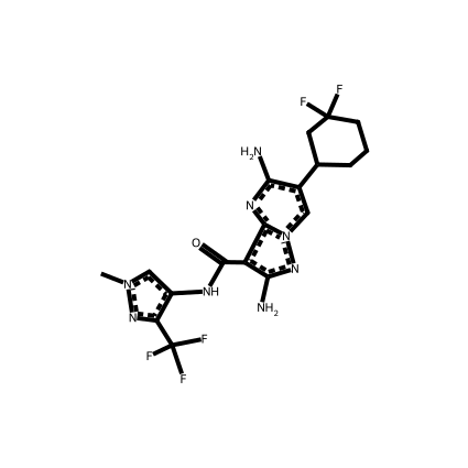 Cn1cc(NC(=O)c2c(N)nn3cc(C4CCCC(F)(F)C4)c(N)nc23)c(C(F)(F)F)n1